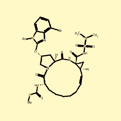 CC(C)n1c(O[C@@H]2C[C@H]3C(=O)N[C@]4(C(=O)NS(=O)(=O)N(C)C)C[C@H]4/C=C\CCCCC[C@H](NC(=O)OC(C)(C)C)C(=O)N3C2)nc2c(Br)cccc21